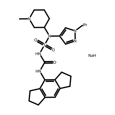 CC(C)n1cc(N(C2CCCN(C)C2)S(=O)(=O)NC(=O)Nc2c3c(cc4c2CCC4)CCC3)cn1.[NaH]